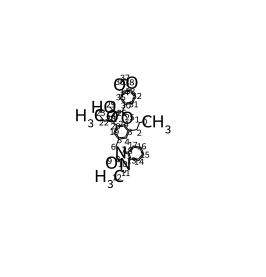 CCCc1cc(Cn2c(=O)n(CC)c3ccccc32)cc(CCC)c1OC(C(=O)O)c1ccc2c(c1)OCO2